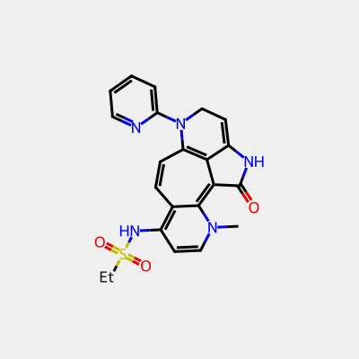 CCS(=O)(=O)NC1=c2ccc3c4c([nH]c(=O)c-4c2N(C)C=C1)=CCN3c1ccccn1